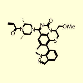 C=CC(=O)N1[C@H](C)CN(c2nc(=O)n3c4c(c(-c5cccc6cnn(C)c56)c(C)cc24)SC[C@@H]3COC)C[C@@H]1C